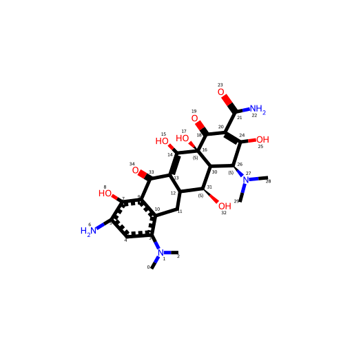 CN(C)c1cc(N)c(O)c2c1CC1C(=C(O)[C@]3(O)C(=O)C(C(N)=O)=C(O)[C@@H](N(C)C)C3[C@H]1O)C2=O